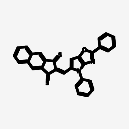 S=C1C(=Cc2cc3oc(-c4ccccc4)nc3n2-c2ccccc2)C(=S)c2cc3ccccc3cc21